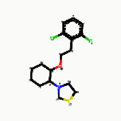 Clc1cccc(Cl)c1CCOC1CCCCC1N1CCSC1